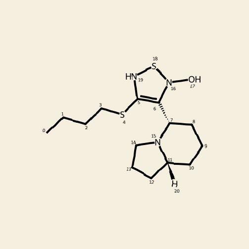 CCCCSC1=C([C@@H]2CCC[C@@H]3CCCN32)N(O)SN1